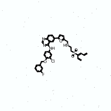 C=C/C=C(\C=C)S(=O)(=O)CCNCc1ccc(-c2ccc3ncnc(Nc4ccc(OCc5cccc(F)c5)c(Cl)c4)c3c2)o1